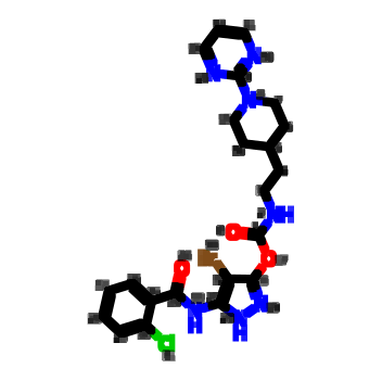 O=C(NCCC1CCN(c2ncccn2)CC1)Oc1n[nH]c(NC(=O)c2ccccc2Cl)c1Br